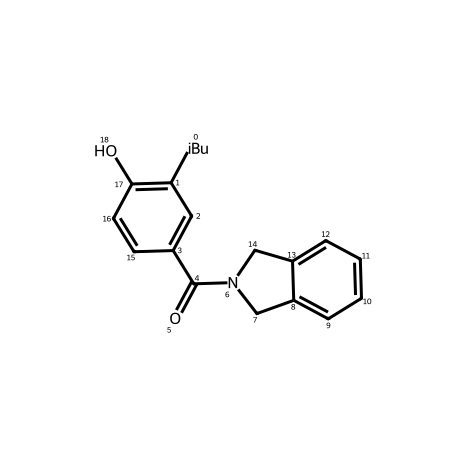 CCC(C)c1cc(C(=O)N2Cc3ccccc3C2)ccc1O